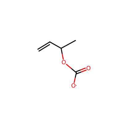 C=CC(C)OC([O])=O